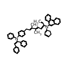 C=C\C(=C/C=C(C)/C(C)=C/Cc1ccc(N(/C(=C/c2ccccc2)c2ccccc2)c2ccccc2)cc1)N(C1=CC=CCC1)c1cc2ccccc2c2ccccc12